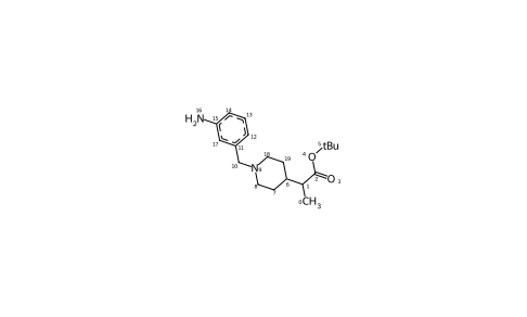 CC(C(=O)OC(C)(C)C)C1CCN(Cc2cccc(N)c2)CC1